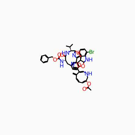 C=C1/C=C\C=C(\OC(C)=O)CN/C=C\1c1cnc(-c2nc3oc2[C@]24c5cc(ccc5OC2Nc2c(Br)cccc24)C[C@H](NC(=O)OCc2ccccc2)C(=O)N[C@H]3C(C)C)o1